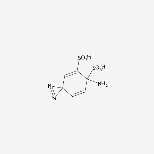 NC1(S(=O)(=O)O)C=CC2(C=C1S(=O)(=O)O)N=N2